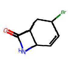 O=C1NC2C=CC(Br)CC12